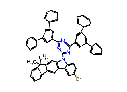 CC1(C)c2ccccc2-c2cc3c4cc(Br)ccc4n(-c4nc(-c5cc(-c6ccccc6)cc(-c6ccccc6)c5)nc(-c5cc(-c6ccccc6)cc(-c6ccccc6)c5)n4)c3cc21